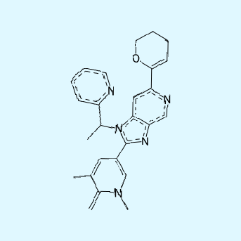 C=C1C(C)=CC(c2nc3cnc(C4=CCCCO4)cc3n2C(C)c2ccccn2)=CN1C